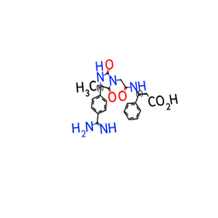 C[C@]1(c2ccc(C(=N)N)cc2)NC(=O)N(CC(=O)N[C@@H](CC(=O)O)c2ccccc2)C1=O